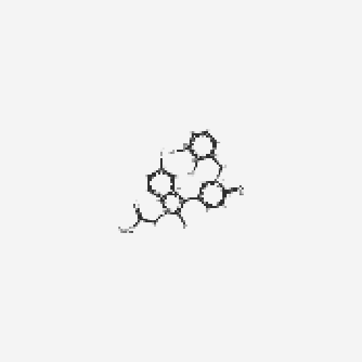 COC(=O)Cn1c(C)c(-c2ccc(=O)n(Cc3cccc(F)c3F)c2)c2cc(F)ccc21